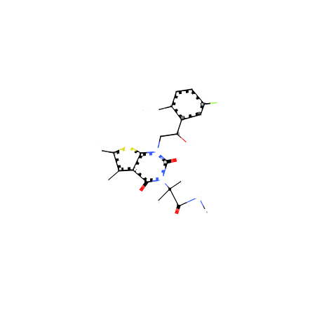 COc1ccc(F)cc1C(O)Cn1c(=O)n(C(C)(C)C(=O)NC(C)C)c(=O)c2c(C)c(C(=O)O)sc21